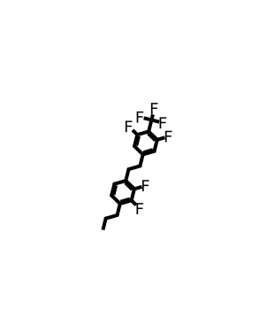 CCCc1ccc(CCc2cc(F)c(C(F)(F)F)c(F)c2)c(F)c1F